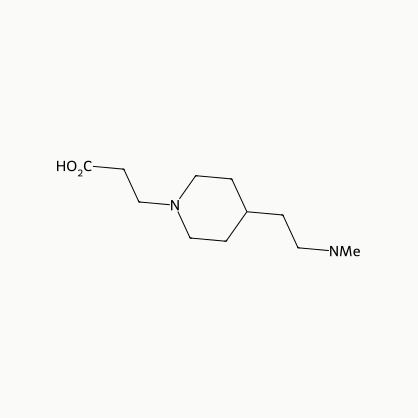 CNCCC1CCN(CCC(=O)O)CC1